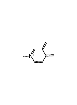 C=CC(=C)/C=C\[N+](=C)C